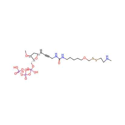 CNCCSSCOCCCCCNC(=O)NCC#CB[C@H]1C[C@H](OC)[C@@H](COP(=O)(O)OP(=O)(O)OP(=O)(O)O)O1